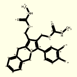 CNC(=O)OCc1c(COC(=O)NC)c(-c2ccc(F)c(F)c2)n2c1Cc1ccccc1C2